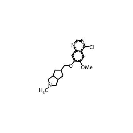 COc1cc2c(Cl)ncnc2cc1OCC1CC2CN(C)CC2C1